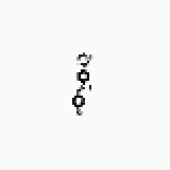 Brc1ccc(CNc2ccc([C@H]3CNCCO3)cc2)nc1